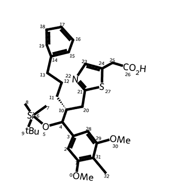 COc1cc(C(O[Si](C)(C)C(C)(C)C)[C@H](CCCc2ccccc2)Cc2ncc(CC(=O)O)s2)cc(OC)c1C